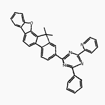 CC1(C)c2cc(-c3nc(-c4ccccc4)nc(-c4ccccn4)n3)ccc2-c2ccc3c(oc4ccccc43)c21